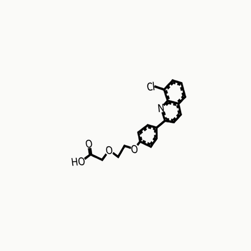 O=C(O)COCCOc1ccc(-c2ccc3cccc(Cl)c3n2)cc1